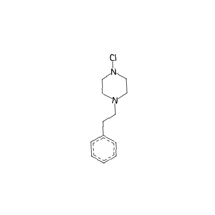 ClN1CCN(CCc2ccccc2)CC1